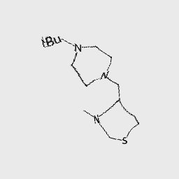 CN1CSCC1CN1CCN(C(C)(C)C)CC1